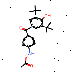 CC(=O)ONc1ccc(C(=O)c2cc(C(C)(C)C)c(O)c(C(C)(C)C)c2)cc1